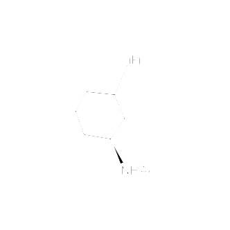 CC(=O)N[C@H]1CCCC(C(C)C)C1